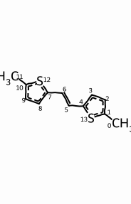 Cc1ccc(/C=C/c2ccc(C)s2)s1